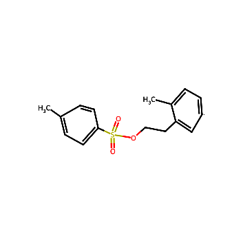 Cc1ccc(S(=O)(=O)OCCc2c[c]ccc2C)cc1